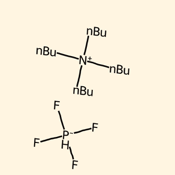 CCCC[N+](CCCC)(CCCC)CCCC.F[PH-](F)(F)F